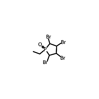 CCP1(=O)C(Br)C(Br)C(Br)C1Br